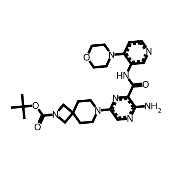 CC(C)(C)OC(=O)N1CC2(CCN(c3cnc(N)c(C(=O)Nc4cnccc4N4CCOCC4)n3)CC2)C1